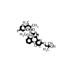 COc1cccc(OC)c1-n1c(NS(=O)(=O)[C@@H](C)[C@H](C)c2ncc(F)cn2)nnc1-c1cccc(OCC(C)(C)O)n1